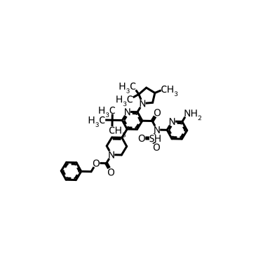 CC1CN(c2nc(C(C)(C)C)c(C3=CCN(C(=O)OCc4ccccc4)CC3)cc2C(=O)N(c2cccc(N)n2)[SH](=O)=O)C(C)(C)C1